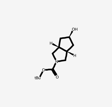 CC(C)(C)OC(=O)N1C[C@H]2C[C@H](O)C[C@H]2C1